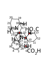 O=C(O)Nc1ccccc1N(C1CCCC[C@H]1C(=O)O)[C@H]1C[C@H]2CCC[C@@H](C1)N2[C@H]1C[C@@H]2CCC[C@@H](C2)C1